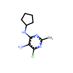 Cc1nc(Cl)c(N)c(NC2CCCC2)n1